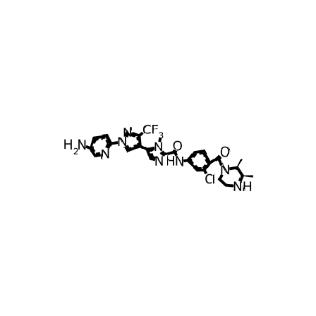 C[C@H]1NCCN(C(=O)c2ccc(NC(=O)c3ncc(-c4cn(-c5ccc(N)cn5)nc4C(F)(F)F)n3C)cc2Cl)[C@H]1C